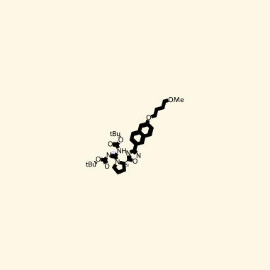 COCCCCOc1ccc2cc(-c3noc([C@@H]4CCCN4/C(=N\C(=O)OC(C)(C)C)NC(=O)OC(C)(C)C)n3)ccc2c1